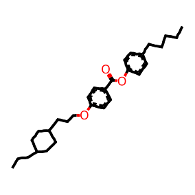 CCCCCc1ccc(OC(=O)c2ccc(OCCCC3CCC(CCC)CC3)cc2)cc1